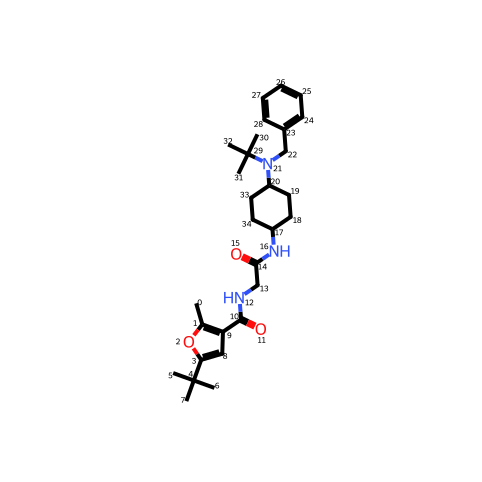 Cc1oc(C(C)(C)C)cc1C(=O)NCC(=O)NC1CCC(N(Cc2ccccc2)C(C)(C)C)CC1